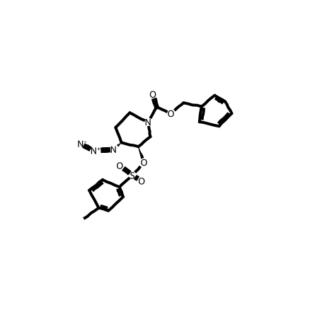 Cc1ccc(S(=O)(=O)O[C@@H]2CN(C(=O)OCc3ccccc3)CC[C@H]2N=[N+]=[N-])cc1